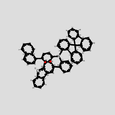 c1ccc(N(c2ccc(-c3cccc4ccccc34)cc2)c2cccc3c2-c2ccccc2C32c3ccccc3-c3ccccc32)c(-c2ccc3oc4ccccc4c3c2)c1